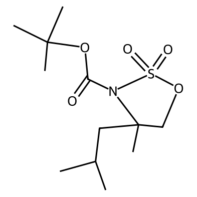 CC(C)CC1(C)COS(=O)(=O)N1C(=O)OC(C)(C)C